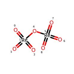 [O]=[Re](=[O])(=[O])[O][Re](=[O])(=[O])=[O]